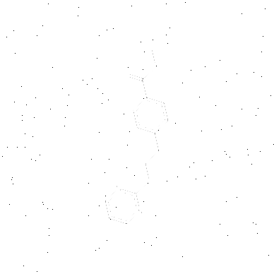 COC(=O)c1ccc(CCOc2ncccn2)cc1